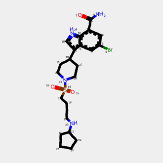 NC(=O)c1cc(Br)cc2c(C3CCN(S(=O)(=O)CCCNC4CCCC4)CC3)c[nH]c12